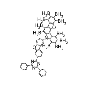 Bc1c(B)c(B)c2c(oc3c2c(B)c(B)c2c3c3c(B)c(B)c(B)c(B)c3n2-c2ccc3oc4cc(-c5nc(-c6ccccc6)nc(-c6ccccc6)n5)ccc4c3c2)c1B